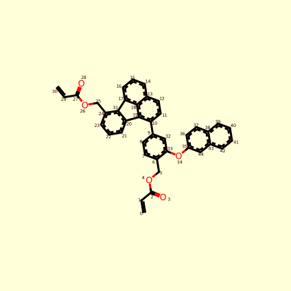 C=CC(=O)OCc1ccc(-c2ccc3cccc4c3c2-c2cccc(COC(=O)C=C)c2-4)cc1Oc1ccc2ccccc2c1